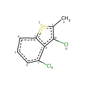 Cc1sc2cccc(Cl)c2c1Cl